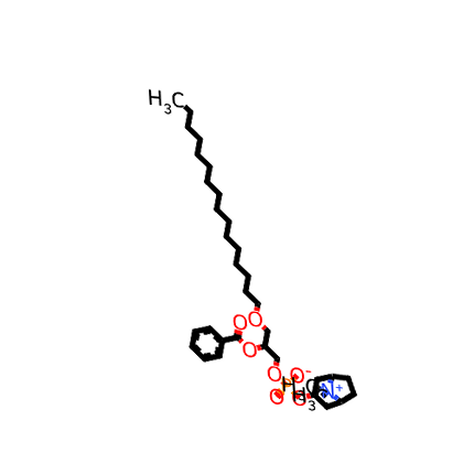 CCCCCCCCCCCCCCCCOCC(COP(=O)([O-])OC1CC2CCC(C1)[N+]2(C)C)OC(=O)c1ccccc1